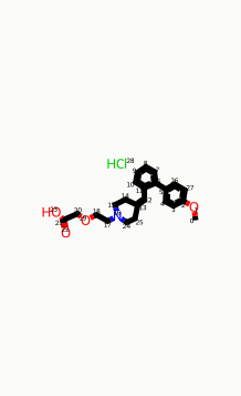 COc1ccc(-c2ccccc2C=C2CCN(CCOCC(=O)O)CC2)cc1.Cl